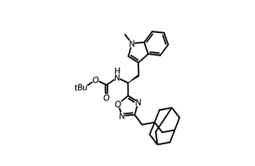 Cn1cc(C[C@H](NC(=O)OC(C)(C)C)c2nc(CC34CC5CC(CC(C5)C3)C4)no2)c2ccccc21